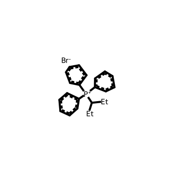 CCC(CC)[P+](c1ccccc1)(c1ccccc1)c1ccccc1.[Br-]